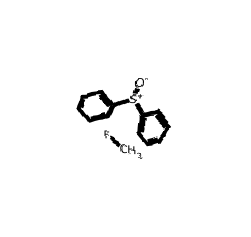 CF.[O-][S+](c1ccccc1)c1ccccc1